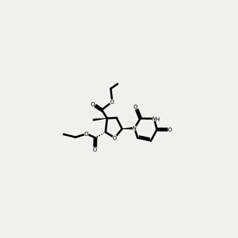 CCOC(=O)[C@H]1O[C@H](n2ccc(=O)[nH]c2=O)C[C@@]1(C)C(=O)OCC